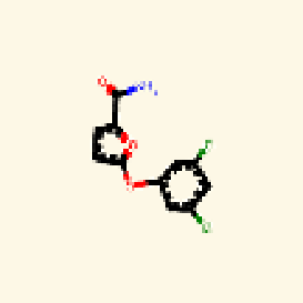 NC(=O)c1ccc(Oc2cc(Cl)cc(Cl)c2)o1